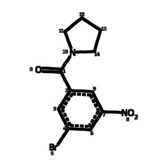 O=C(c1cc(Br)cc([N+](=O)[O-])c1)N1CCCC1